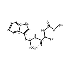 CC(C)C(NC(=O)OC(C)(C)C)C(=O)NC(Cc1c[nH]c2ccccc12)C(=O)O